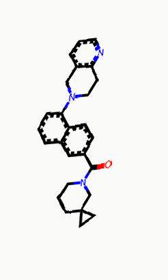 O=C(c1ccc2c(N3CCc4ncccc4C3)cccc2c1)N1CCCC2(CC2)C1